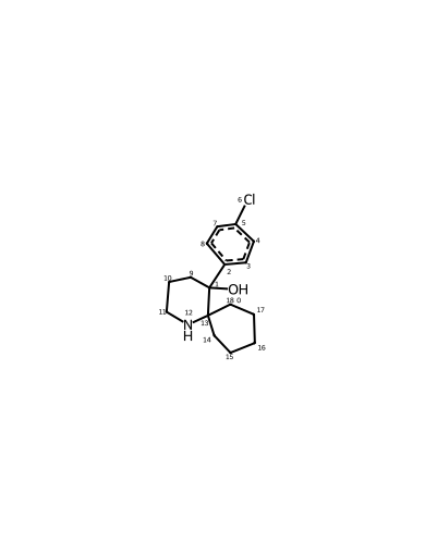 OC1(c2ccc(Cl)cc2)CCCNC12CCCCC2